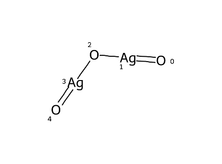 [O]=[Ag][O][Ag]=[O]